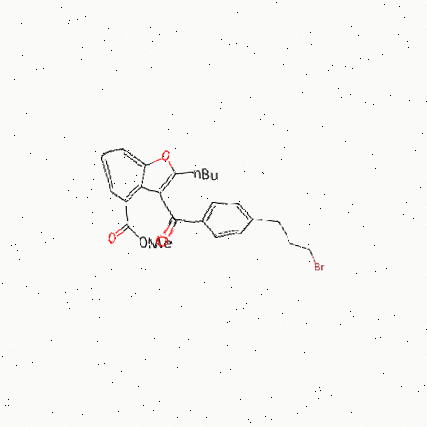 CCCCc1oc2cccc(C(=O)OC)c2c1C(=O)c1ccc(CCCBr)cc1